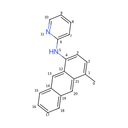 Cc1ccc(Nc2ccccn2)c2cc3ccccc3cc12